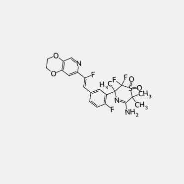 CC1(c2cc(C=C(F)c3cc4c(cn3)OCCO4)ccc2F)N=C(N)C(C)(C)S(=O)(=O)C1(F)F